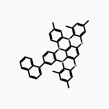 Cc1cc(C)c2c(c1)Oc1cc3c4c5c1B2c1cc(C)ccc1N5c1ccc(-c2cccc5ccccc25)cc1B4c1c(C)cc(C)cc1O3